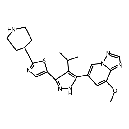 COc1cc(-c2[nH]nc(-c3cnc(C4CCNCC4)s3)c2C(C)C)cn2ncnc12